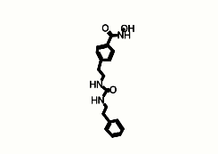 O=C(NCCc1ccccc1)NCCc1ccc(C(=O)NO)cc1